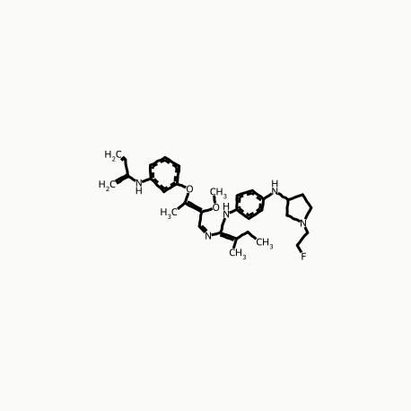 C=CC(=C)Nc1cccc(O/C(C)=C(/C=N\C(Nc2ccc(NC3CCN(CCF)C3)cc2)=C(/C)CC)OC)c1